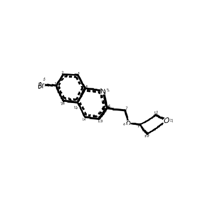 Brc1ccc2nc(COC3COC3)ccc2c1